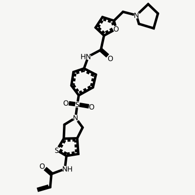 C=CC(=O)Nc1cc2c(s1)CN(S(=O)(=O)c1ccc(NC(=O)c3ccc(CN4CCCC4)o3)cc1)C2